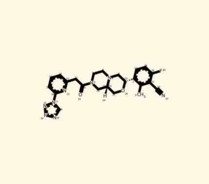 Cc1c([C@H]2CN3CCN(C(=O)Cc4cccc(-n5cnnn5)n4)C[C@H]3CO2)ccc(F)c1C#N